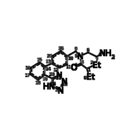 CCC(CC)C(=O)N(CCN)Cc1ccc(-c2ccccc2-c2nnn[nH]2)cc1